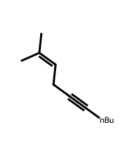 CCCCC#CCC=C(C)C